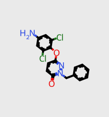 Nc1cc(Cl)c(Oc2ccc(=O)n(Cc3ccccc3)n2)c(Cl)c1